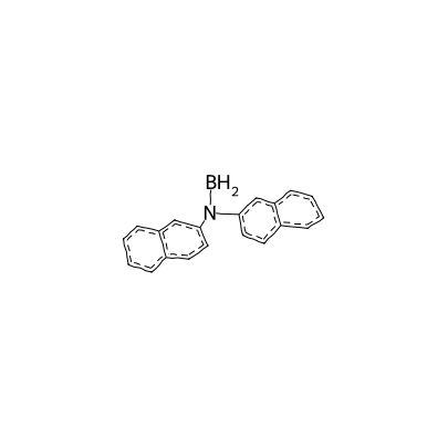 BN(c1ccc2ccccc2c1)c1ccc2ccccc2c1